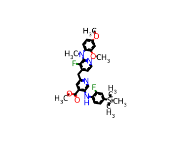 COC(=O)c1cc(Cc2ccnc(N(C)c3ccc(OC)cc3OC)c2F)ncc1Nc1ccc([Si](C)(C)C)cc1F